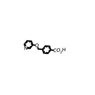 O=C(O)c1ccc(COc2cccnc2)cc1